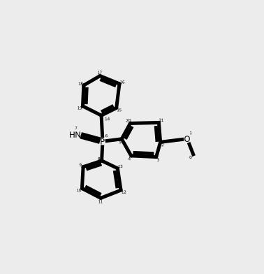 COc1ccc(P(=N)(c2ccccc2)c2ccccc2)cc1